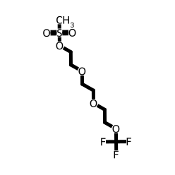 CS(=O)(=O)OCCOCCOCCOC(F)(F)F